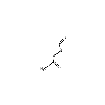 CC(=O)O[N][C]=O